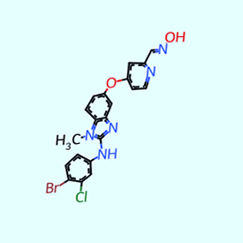 Cn1c(Nc2ccc(Br)c(Cl)c2)nc2cc(Oc3ccnc(C=NO)c3)ccc21